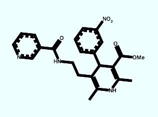 COC(=O)C1=C(C)NC(C)=C(CCNC(=O)c2cccnc2)C1c1cccc([N+](=O)[O-])c1